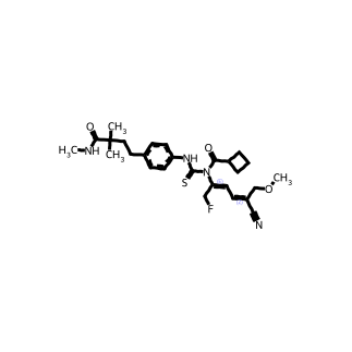 CNC(=O)C(C)(C)CCc1ccc(NC(=S)N(C(=O)C2CCC2)/C(=C/C=C(/C#N)COC)CF)cc1